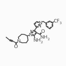 CC#CC(=O)N1CCCC(n2nc(-c3ccn(Cc4cccc(C(F)(F)F)c4)n3)c(C(N)=O)c2N)CCC1